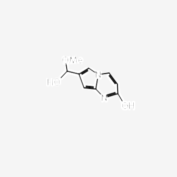 COC(O)c1cc2nc(O)ccn2c1